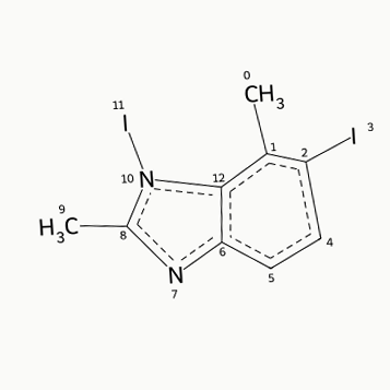 Cc1c(I)ccc2nc(C)n(I)c12